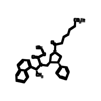 CCOC(=O)CCCCCC(=O)N1C[C@H](CN(C(=O)OC(C)(C)C)[C@H](C)c2cccc3ccccc23)[C@@H](c2ccccc2)C1